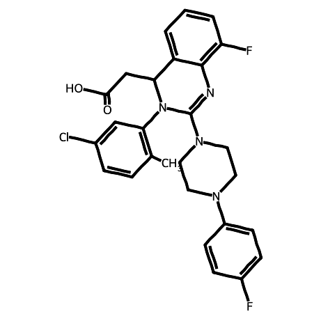 Cc1ccc(Cl)cc1N1C(N2CCN(c3ccc(F)cc3)CC2)=Nc2c(F)cccc2C1CC(=O)O